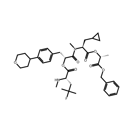 CN[C@@H](CC(C)(C)F)C(=O)O[C@H](Cc1ccc(C2CCOCC2)cc1)C(=O)N(C)[C@@H](CC1CC1)C(=O)O[C@H](C)C(=O)OCc1ccccc1